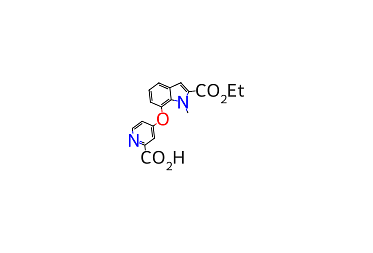 CCOC(=O)c1cc2cccc(Oc3ccnc(C(=O)O)c3)c2n1C